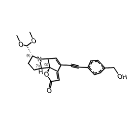 COC(OC)[C@H]1CC[C@H]2N1C1C=C(C#Cc3ccc(CO)cc3)C3=CC(=O)O[C@]312